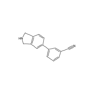 N#Cc1cccc(-c2ccc3c(c2)CNC3)c1